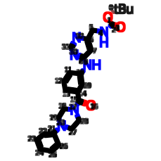 CC(C)(C)OC(=O)NCc1cc(Nc2cccc(C(=O)N3CCN(c4ccccc4)CC3)c2)ncn1